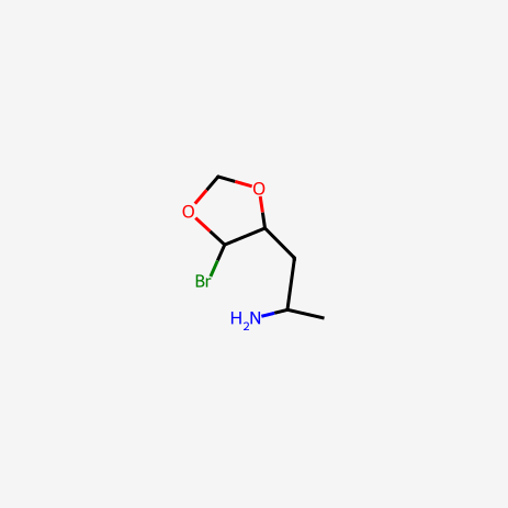 CC(N)CC1OCOC1Br